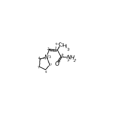 CC(=CN1CCCC1)C(N)=O